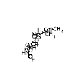 CN1CCN(C(C)(C)C#Cc2cc3nccc(Oc4ccc(NC(=O)C5(C(=O)Nc6ccc(F)cc6)CC5)cc4F)c3s2)CC1